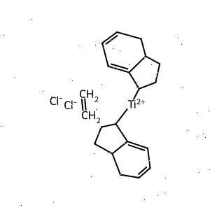 C1=CCC2CC[CH]([Ti+2][CH]3CCC4CC=CC=C43)C2=C1.C=C.[Cl-].[Cl-]